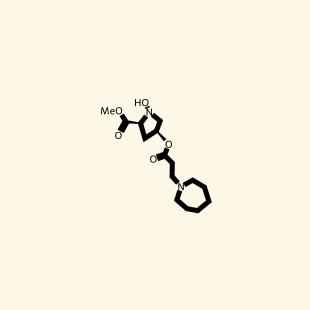 COC(=O)[C@@H]1C[C@H](OC(=O)CCN2CCCCCC2)CN1O